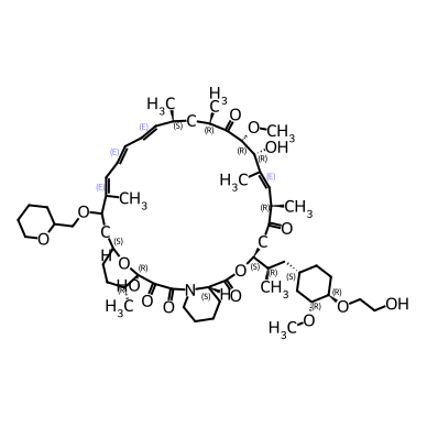 CO[C@@H]1C[C@H](C[C@@H](C)[C@@H]2CC(=O)[C@H](C)/C=C(\C)[C@@H](O)[C@@H](OC)C(=O)[C@H](C)C[C@H](C)/C=C/C=C/C=C(\C)C(OCC3CCCCO3)C[C@@H]3CC[C@@H](C)[C@@](O)(O3)C(=O)C(=O)N3CCCC[C@H]3C(=O)O2)CC[C@H]1OCCO